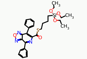 CCO[Si](CCCCSC(=O)c1nc(-c2ccccc2)c2nonc2c1-c1ccccc1)(OCC)OCC